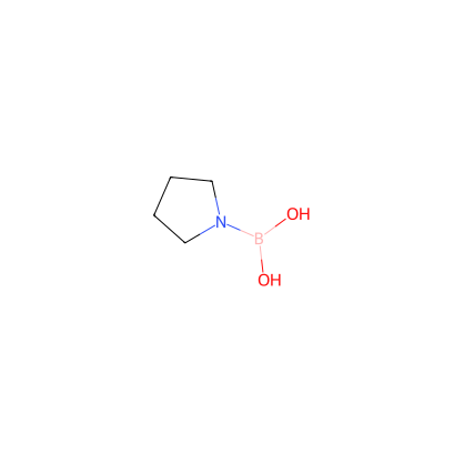 OB(O)N1CCCC1